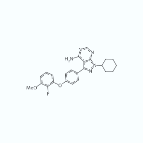 COc1cccc(Oc2ccc(-c3nn(C4CCCCC4)c4ncnc(N)c34)cc2)c1F